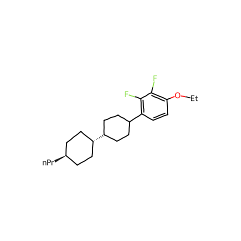 CCC[C@H]1CC[C@H](C2CCC(c3ccc(OCC)c(F)c3F)CC2)CC1